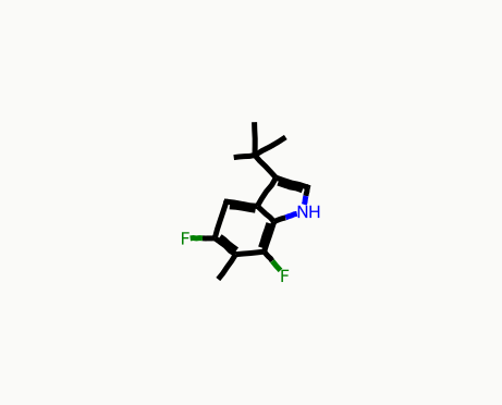 Cc1c(F)cc2c(C(C)(C)C)c[nH]c2c1F